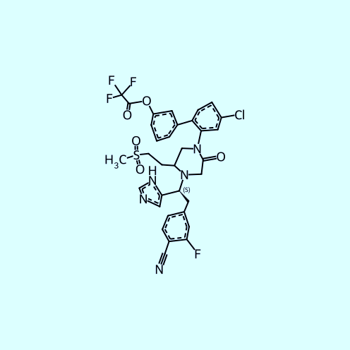 CS(=O)(=O)CCC1CN(c2cc(Cl)ccc2-c2cccc(OC(=O)C(F)(F)F)c2)C(=O)CN1[C@@H](Cc1ccc(C#N)c(F)c1)c1cnc[nH]1